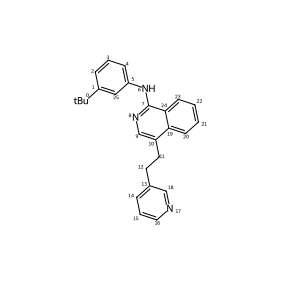 CC(C)(C)c1cccc(Nc2ncc(CCc3cccnc3)c3ccccc23)c1